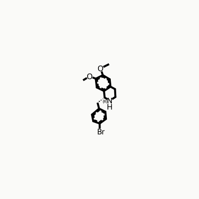 COc1cc2c(cc1OC)[C@@H](Cc1ccc(Br)cc1)NCC2